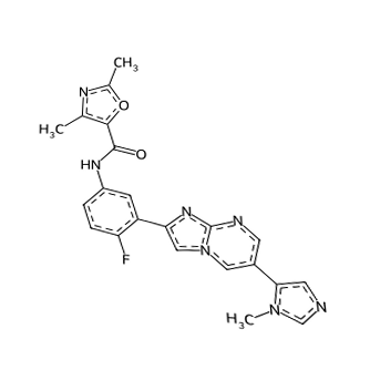 Cc1nc(C)c(C(=O)Nc2ccc(F)c(-c3cn4cc(-c5cncn5C)cnc4n3)c2)o1